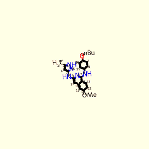 CCCCOc1ccc(Nc2nc(Nc3cc(C)[nH]n3)cc3cc(OC)ccc23)cc1